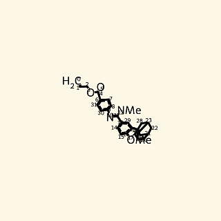 C=CCOC(=O)c1ccc(N=C(NC)c2ccc(OC)c(C34CC5CC(CC(C5)C3)C4)c2)cc1